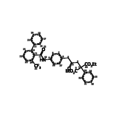 CCOC(=O)C(CC(=O)Cc1ccc(NC(=O)c2c(-c3ccccc3)cccc2C(F)(F)F)cc1)(C(=O)OCC)c1ccccc1